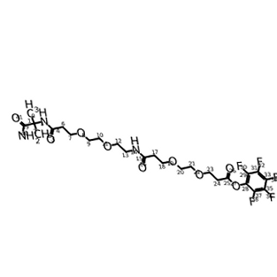 CC(C)(NC(=O)CCOCCOCCNC(=O)CCOCCOCCC(=O)Oc1c(F)c(F)c(F)c(F)c1F)C(N)=O